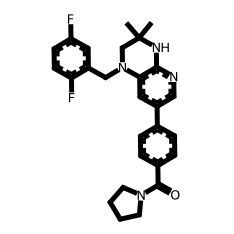 CC1(C)CN(Cc2cc(F)ccc2F)c2cc(-c3ccc(C(=O)N4CCCC4)cc3)cnc2N1